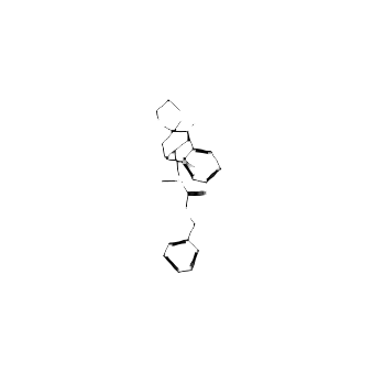 CN(C(=O)OCc1ccccc1)[C@H]1C[C@H]2c3ccccc3[C@H]1CC21OCCO1